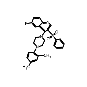 Cc1ccc(N2CCN(c3c(S(=O)(=O)c4ccccc4)cnc4ccc(F)cc34)CC2)c(C)c1